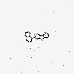 c1cnc2c(-c3cc4sc5cccnc5c4cn3)cccc2c1